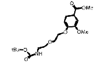 COC(=O)C1C=C(OC)C(OCCOCCNC(=O)OC(C)(C)C)=CC1